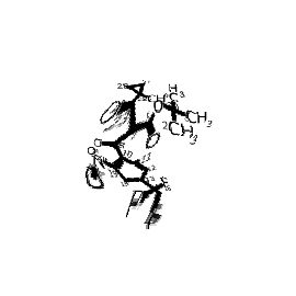 CC(C)(C)OC(=O)C(C(=O)c1ccc(C(F)(F)F)cc1[N+](=O)[O-])C(=O)C1(C)CC1